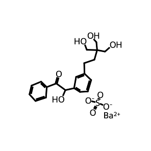 O=C(c1ccccc1)C(O)c1cccc(CCC(CO)(CO)CO)c1.O=S(=O)([O-])[O-].[Ba+2]